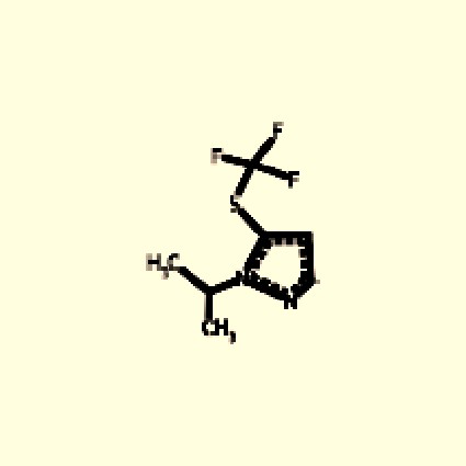 CC(C)n1n[c]cc1SC(F)(F)F